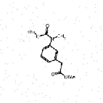 COC(=O)Cc1cccc(N(C)C(=O)OC(C)(C)C)c1